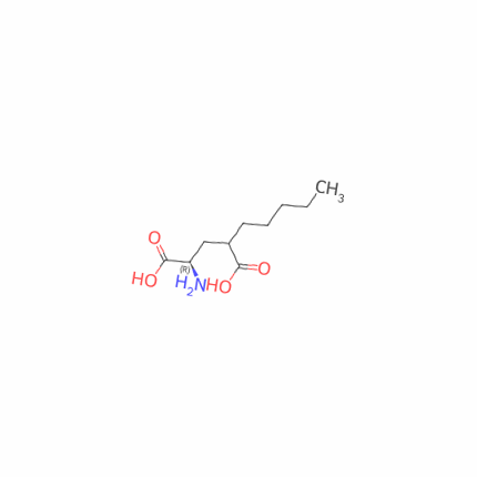 CCCCCC(C[C@@H](N)C(=O)O)C(=O)O